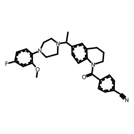 COc1cc(F)ccc1N1CCN(C(C)c2ccc3c(c2)CCCN3C(=O)c2ccc(C#N)cc2)CC1